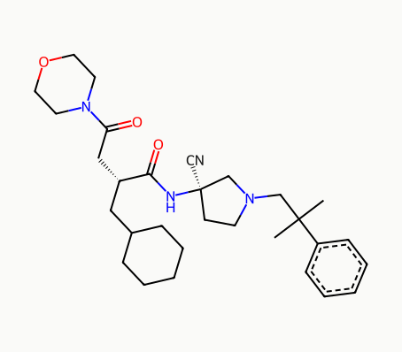 CC(C)(CN1CC[C@@](C#N)(NC(=O)[C@@H](CC(=O)N2CCOCC2)CC2CCCCC2)C1)c1ccccc1